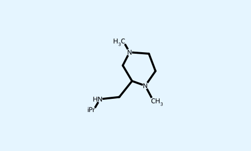 CC(C)NCC1CN(C)CCN1C